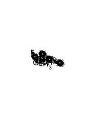 CN(C(=O)c1ccc(F)cc1)[C@@H](Cc1ccccc1)C(O)Nc1ccc(SCc2ccccc2)cc1